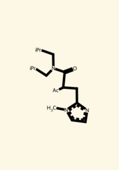 CC(=O)C(Cc1nccn1C)C(=O)N(CC(C)C)CC(C)C